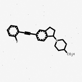 O=C(O)C1CCN(C2CCc3cc(C#Cc4ccccc4F)ccc32)CC1